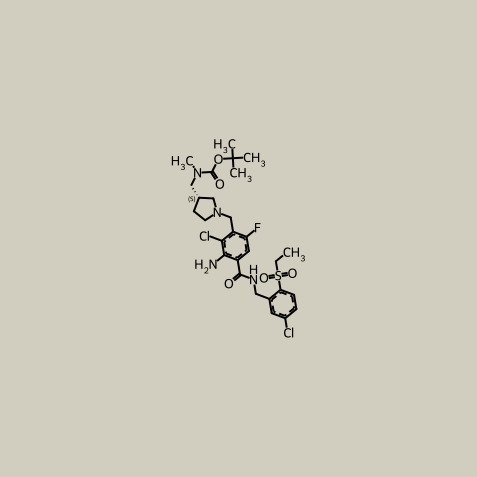 CCS(=O)(=O)c1ccc(Cl)cc1CNC(=O)c1cc(F)c(CN2CC[C@H](CN(C)C(=O)OC(C)(C)C)C2)c(Cl)c1N